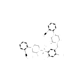 Cc1cc(C)c(S(=O)(=O)N2CCN(c3ccccc3C#N)C[C@@H]2C)cc1CN1CCN(c2ccccc2C#N)C[C@@H]1C